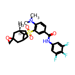 CN(C)c1ccc(C(=O)Nc2cc(F)c(F)c(F)c2)cc1S(=O)(=O)C1C2CC[C@H]1CC1(CO1)C2